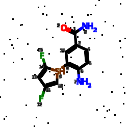 NC(=O)c1ccc(N)c([SH]2C=C(F)C=C2F)c1